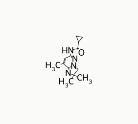 CC1=CC(NC(=O)C2CC2)=NN2CC(C)(C)N=C12